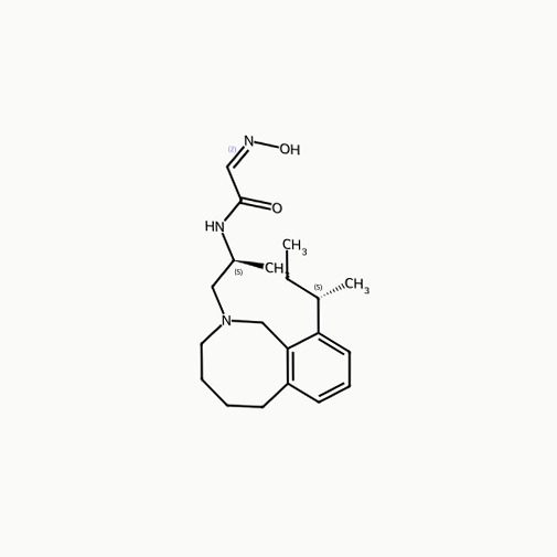 CC[C@H](C)c1cccc2c1CN(C[C@H](C)NC(=O)/C=N\O)CCCC2